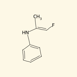 CC(=CF)Nc1ccccc1